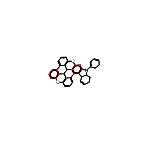 C1=CCCC(N2c3cccc(-c4cccc5c4C(C4c6ccccc6Oc6cccc(-c7ccccc7)c64)c4ccccc4O5)c3C3C=CCCC32)=C1